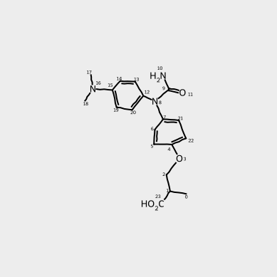 CC(COc1ccc(N(C(N)=O)c2ccc(N(C)C)cc2)cc1)C(=O)O